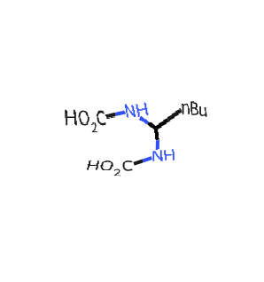 CCCCC(NC(=O)O)NC(=O)O